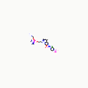 COc1cc2c(cc1/N=N/c1ccc([N+](=O)[O-])cc1Cl)C(C)=CC(C)(C)N2CCCCOP(OCCC#N)N(C(C)C)C(C)C